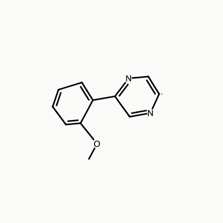 COc1ccccc1-c1cn[c]cn1